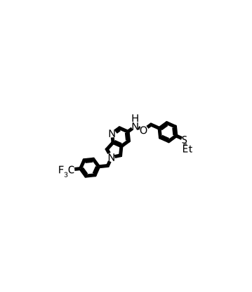 CCSc1ccc(CONc2cnc3c(c2)CN(Cc2ccc(C(F)(F)F)cc2)C3)cc1